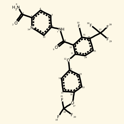 NC(=O)c1ccc(NC(=O)c2c(Oc3ccc(OC(F)(F)F)cc3)ccc(C(F)(F)F)c2F)cn1